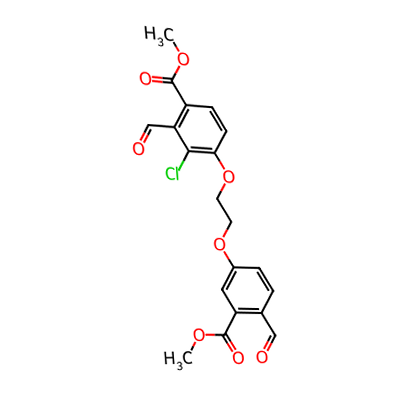 COC(=O)c1cc(OCCOc2ccc(C(=O)OC)c(C=O)c2Cl)ccc1C=O